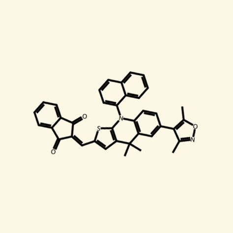 Cc1noc(C)c1-c1ccc2c(c1)C(C)(C)c1cc(C=C3C(=O)c4ccccc4C3=O)sc1N2c1cccc2ccccc12